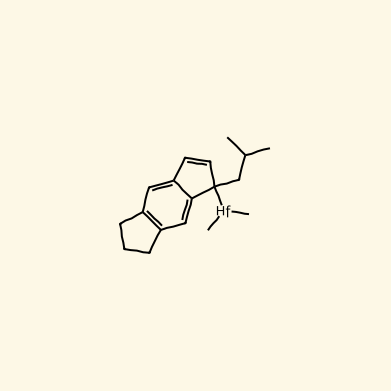 CC(C)C[C]1([Hf]([CH3])[CH3])C=Cc2cc3c(cc21)CCC3